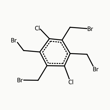 Clc1c(CBr)c(CBr)c(Cl)c(CBr)c1CBr